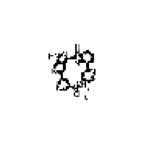 CN(C)c1cncc(-c2cc3c(-c4nc5c(-c6ccccn6)cccc5[nH]4)n[nH]c3cn2)c1